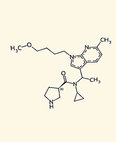 COCCCCn1cc(C(C)N(C(=O)[C@@H]2CCNC2)C2CC2)c2ccc(C)nc21